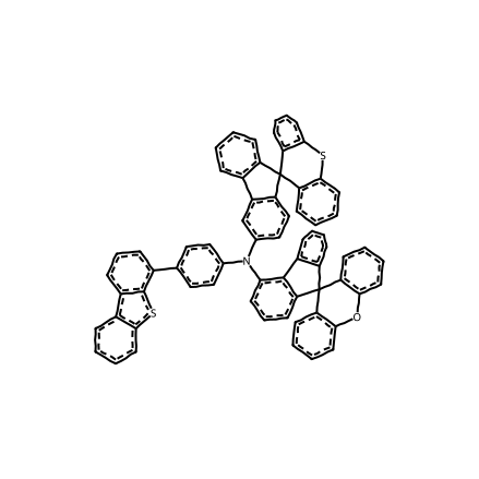 c1ccc2c(c1)Oc1ccccc1C21c2ccccc2-c2c(N(c3ccc(-c4cccc5c4sc4ccccc45)cc3)c3ccc4c(c3)-c3ccccc3C43c4ccccc4Sc4ccccc43)cccc21